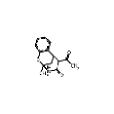 CC(=O)C1C(=O)NC2(C)CC1c1ccccc1O2